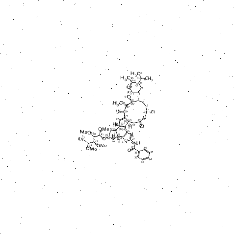 CC[C@H]1CCC[C@H](O[C@H]2CC[C@H](N(C)C)C(C)O2)[C@@H](C)C(=O)C2=C[C@@H]3C(c4nc(NC(=O)c5ccccc5)sc4[C@@H]4C[C@@H](OC(OC)C(OC)C(OC)C(OC)C(C)C)C[C@@H]34)[C@@H]2CC(=O)O1